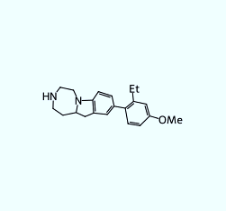 CCc1cc(OC)ccc1-c1ccc2c(c1)CC1CCNCCN21